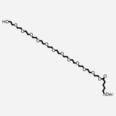 CCCCCCCCCCCCCCC(=O)OCCOCCOCCOCCOCCOCCOCCOCCOCCOCCOCCOCCO